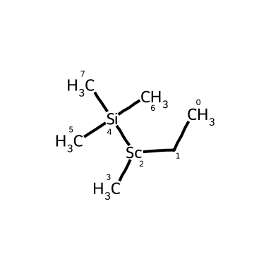 C[CH2][Sc]([CH3])[Si](C)(C)C